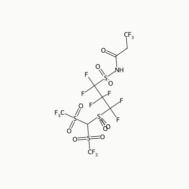 O=C(CC(F)(F)F)NS(=O)(=O)C(F)(F)C(F)(F)C(F)(F)S(=O)(=O)C(S(=O)(=O)C(F)(F)F)S(=O)(=O)C(F)(F)F